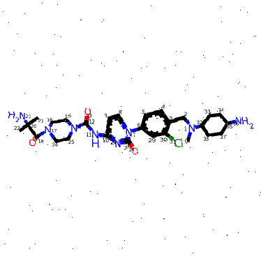 CN(Cc1ccc(-n2ccc(NC(=O)N3CCN(C(=O)C(C)(C)N)CC3)nc2=O)cc1Cl)C1CCC(N)CC1